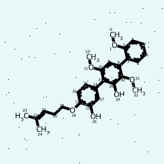 COc1ccccc1-c1cc(OC)c(-c2ccc(OCCC=C(C)C)c(O)c2)c(O)c1OC